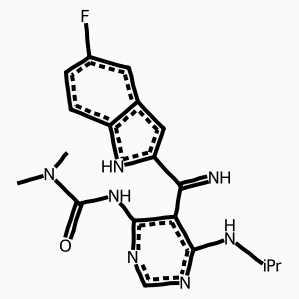 CC(C)Nc1ncnc(NC(=O)N(C)C)c1C(=N)c1cc2cc(F)ccc2[nH]1